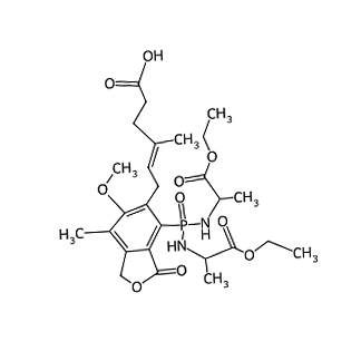 CCOC(=O)C(C)NP(=O)(NC(C)C(=O)OCC)c1c(C/C=C(\C)CCC(=O)O)c(OC)c(C)c2c1C(=O)OC2